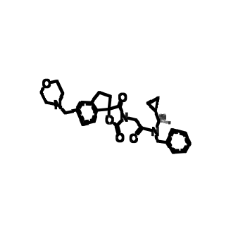 C[C@@H](C1CC1)N(Cc1ccccc1)C(=O)CN1C(=O)OC2(CCc3cc(CN4CCOCC4)ccc32)C1=O